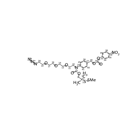 CSSC(C)(C)COC(=O)N(CCOCCOCCOCCN=[N+]=[N-])c1ccc(COC(=O)Oc2ccc([N+](=O)[O-])cc2)cc1